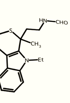 CCn1c2c(c3ccccc31)CCSC2(C)CCNC=O